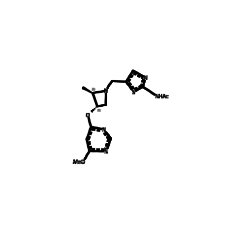 COc1cc(O[C@H]2CN(Cc3cnc(NC(C)=O)s3)[C@@H]2C)ncn1